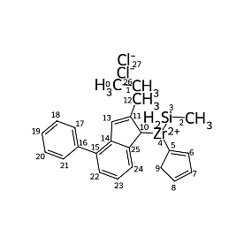 CC.C[SiH2][Zr+2]([C]1=CC=CC1)[CH]1C(C)=Cc2c(-c3ccccc3)cccc21.[Cl-].[Cl-]